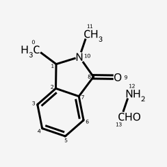 CC1c2ccccc2C(=O)N1C.NC=O